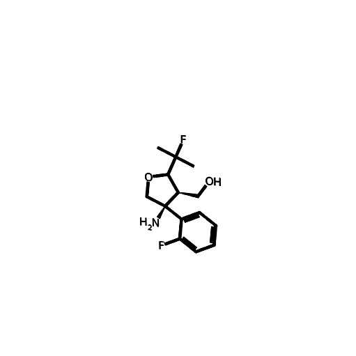 CC(C)(F)C1OC[C@@](N)(c2ccccc2F)[C@@H]1CO